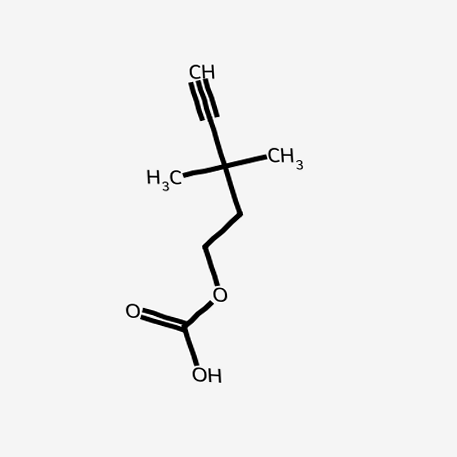 C#CC(C)(C)CCOC(=O)O